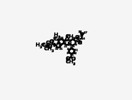 COC(=O)c1ccc([C@@H]2C[C@@H](S(=O)(=O)CC3CC3)CCN2Cc2c(OC)cc(C)c3c2ccn3C(=O)OC(C)(C)C)cc1